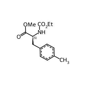 CCOC(=O)N[C@@H](Cc1ccc(C)cc1)C(=O)OC